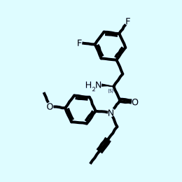 CC#CCN(C(=O)[C@@H](N)Cc1cc(F)cc(F)c1)c1ccc(OC)cc1